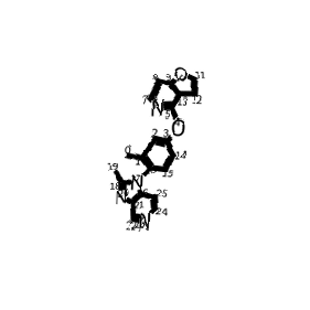 Cc1cc(Oc2nccc3occc23)ccc1-n1c(C)nc2cnccc21